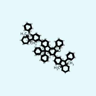 CC12CCCCC1(C)C(c1ccccc1)c1cc(-c3cc4c(c5c3oc3ccccc35)-c3ccc(-c5ccc6c(c5)C5(C)CCCCC5(C)N6c5ccccc5)cc3C4(c3ccccc3)c3ccccc3)ccc12